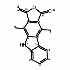 Cc1c2c(c(C)c3c1[nH]c1ccccc13)C(=O)OC2=O